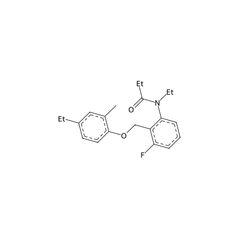 CCC(=O)N(CC)c1cccc(F)c1COc1ccc(CC)cc1C